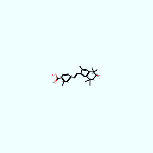 Cc1cc2c(cc1C=Cc1ccc(C(=O)O)c(C)c1)C(C)(C)CC(=O)C2(C)C